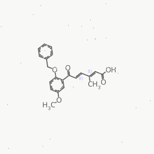 COc1ccc(OCc2ccccc2)c(C(=O)/C=C/C(C)=C/C(=O)O)c1